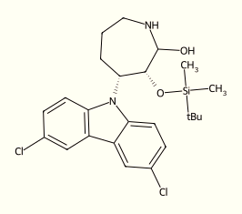 CC(C)(C)[Si](C)(C)O[C@H]1C(O)NCCC[C@H]1n1c2ccc(Cl)cc2c2cc(Cl)ccc21